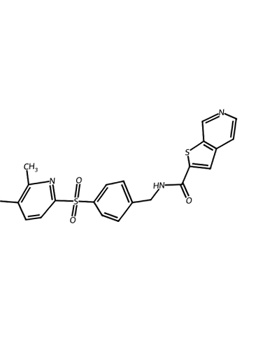 Cc1nc(S(=O)(=O)c2ccc(CNC(=O)c3cc4ccncc4s3)cc2)ccc1F